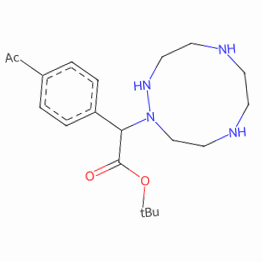 CC(=O)c1ccc(C(C(=O)OC(C)(C)C)N2CCNCCNCCN2)cc1